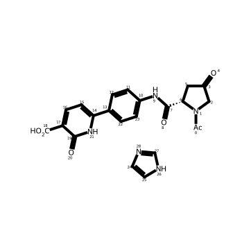 CC(=O)N1CC(=O)C[C@H]1C(=O)Nc1ccc(-c2ccc(C(=O)O)c(=O)[nH]2)cc1.c1c[nH]cn1